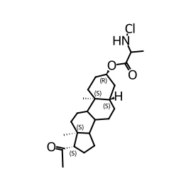 CC(=O)[C@H]1CCC2C3CC[C@H]4C[C@H](OC(=O)C(C)NCl)CC[C@]4(C)C3CC[C@@]21C